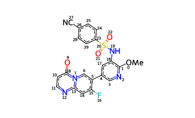 COc1ncc(-c2cn3c(=O)ccnc3cc2F)cc1NS(=O)(=O)c1ccc(C#N)cc1